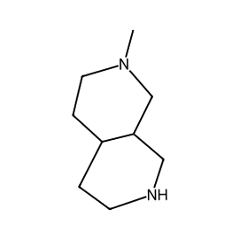 CN1CCC2CCNCC2C1